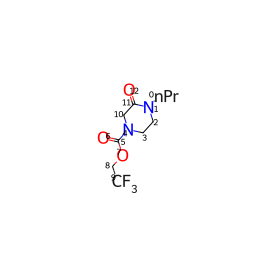 CCCN1CCN(C(=O)OCC(F)(F)F)CC1=O